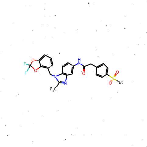 CCS(=O)(=O)c1ccc(CC(=O)Nc2ccc3c(c2)nc(C(F)(F)F)n3Cc2cccc3c2OC(F)(F)O3)cc1